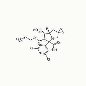 C=CCOC(=O)[C@H]1[C@@H](C(=O)O)[C@@H]2CC3(CC3)CN2C12C(=O)Nc1c(Cl)cc(Cl)cc12